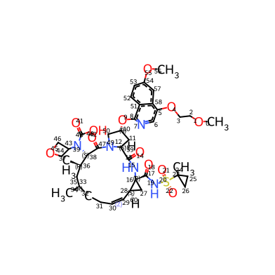 COCCOc1cnc(O[C@@H]2C[C@H]3C(=O)N[C@]4(C(=O)NS(=O)(=O)C5(C)CC5)C[C@H]4/C=C\CC[C@@H](C)C[C@@H](C)[C@H](N(C(=O)O)C4COC4)C(=O)N3C2)c2ccc(OC)cc12